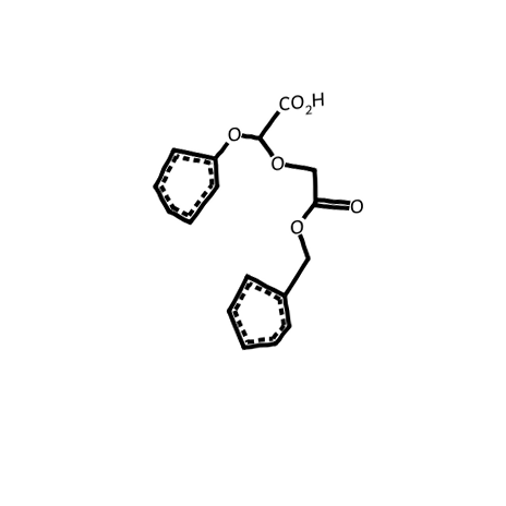 O=C(COC(Oc1ccccc1)C(=O)O)OCc1ccccc1